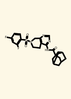 O=C(Nc1ncnc2c1CCN(S(=O)(=O)c1ccc(F)cc1F)C2)C12CC3CC(CC(C3)C1)C2